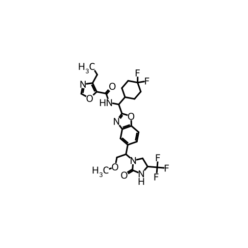 CCc1ncoc1C(=O)NC(c1nc2cc(C(COC)N3CC(C(F)(F)F)NC3=O)ccc2o1)C1CCC(F)(F)CC1